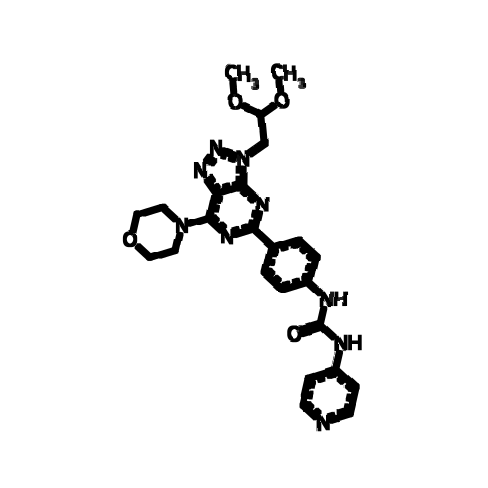 COC(Cn1nnc2c(N3CCOCC3)nc(-c3ccc(NC(=O)Nc4ccncc4)cc3)nc21)OC